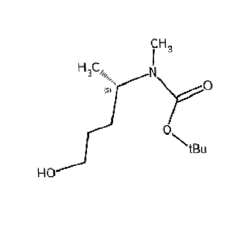 C[C@@H](CCCO)N(C)C(=O)OC(C)(C)C